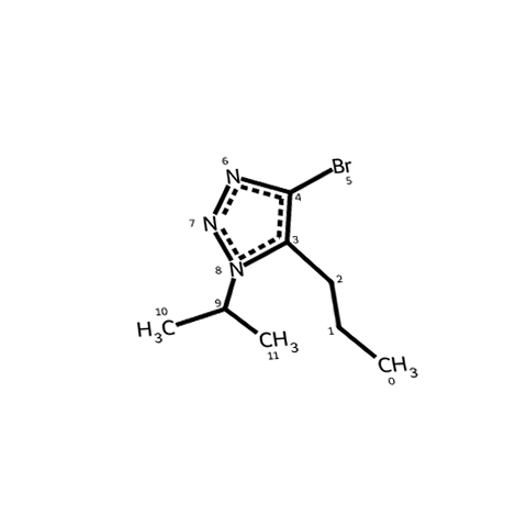 CCCc1c(Br)nnn1C(C)C